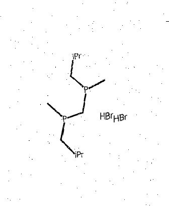 Br.Br.CC(C)CP(C)CP(C)CC(C)C